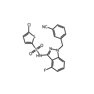 N#Cc1cccc(Cn2nc(NS(=O)(=O)c3ccc(Cl)s3)c3c(F)cccc32)c1